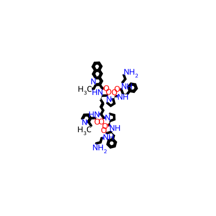 CCc1ncccc1C(=O)NC(CC=CC[C@H](NC(=O)c1cc2cc3ccccc3cc2nc1CC)C(=O)N1CCC[C@H]1C(=O)N[C@@H](Cc1ccccc1)C(=O)NCCCN)C(=O)N1CCC[C@H]1C(=O)N[C@@H](Cc1ccccc1)C(=O)NCCCN